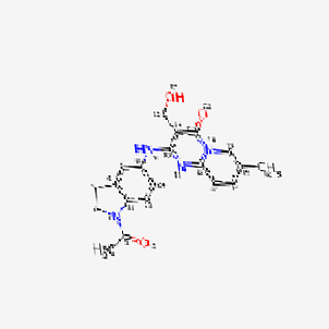 CC(=O)N1CCc2cc(Nc3nc4ccc(C)cn4c(=O)c3CO)ccc21